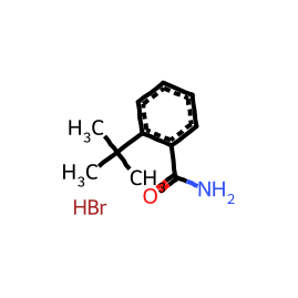 Br.CC(C)(C)c1ccccc1C(N)=O